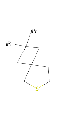 CC(C)C1(C(C)C)CC2(CCSC2)C1